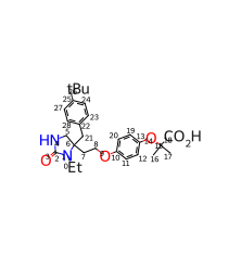 CCN1C(=O)NCC1(CCOc1ccc(OC(C)(C)C(=O)O)cc1)Cc1ccc(C(C)(C)C)cc1